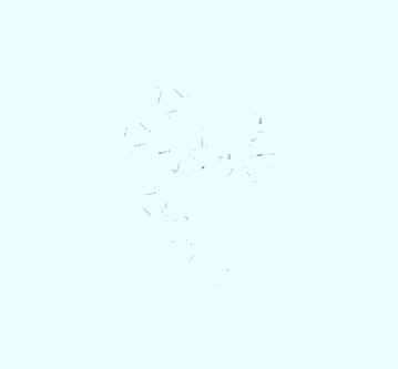 CO/N=C(\C(=O)N[C@@H]1C(=O)N2C(C(=O)OC(c3ccccc3)c3ccccc3)=C(Sc3cccnc3CSC3CCN(C(=O)OC(C)(C)C)C3)CC[C@H]12)c1nc(N)sc1Cl